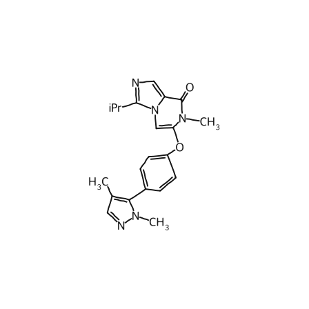 Cc1cnn(C)c1-c1ccc(Oc2cn3c(C(C)C)ncc3c(=O)n2C)cc1